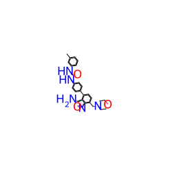 Cc1cccc(NC(=O)Nc2ccc(-c3ccc(CN4CCOCC4)c4noc(N)c34)cc2)c1